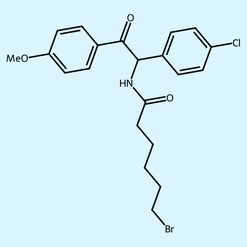 COc1ccc(C(=O)C(NC(=O)CCCCCBr)c2ccc(Cl)cc2)cc1